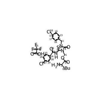 CCC(C)C(N)C(=O)OCN1C(=O)N(Cc2ccc(Cl)cc2)SC1NC(=O)c1ccc(Cl)cc1.O=C(O)C(F)(F)F